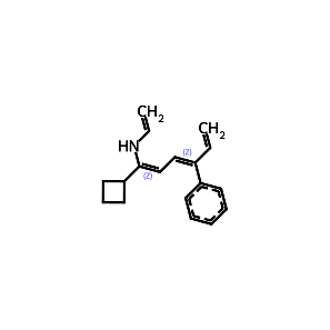 C=CN/C(=C\C=C(\C=C)c1ccccc1)C1CCC1